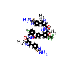 Cc1ncc(-c2ccc3nc(N)sc3c2)cc1C(=O)NCc1c(F)cccc1OCC1CCC(c2ccc(OC(F)(F)F)c(C(C)NC(=O)c3cnc(C)c(-c4ccc5nc(N)sc5c4)c3)c2)C1